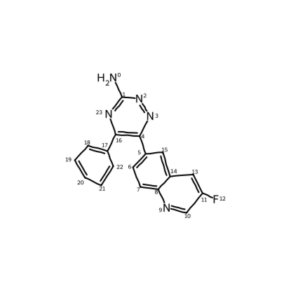 Nc1nnc(-c2ccc3ncc(F)cc3c2)c(-c2ccccc2)n1